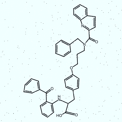 O=C(c1ccccc1)c1ccccc1NC(Cc1ccc(OCCCN(Cc2ccccc2)C(=O)c2ccc3ccccc3n2)cc1)C(=O)O